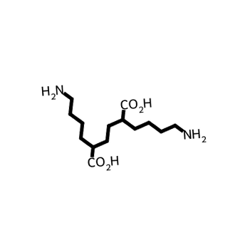 NCCCCC(CCC(CCCCN)C(=O)O)C(=O)O